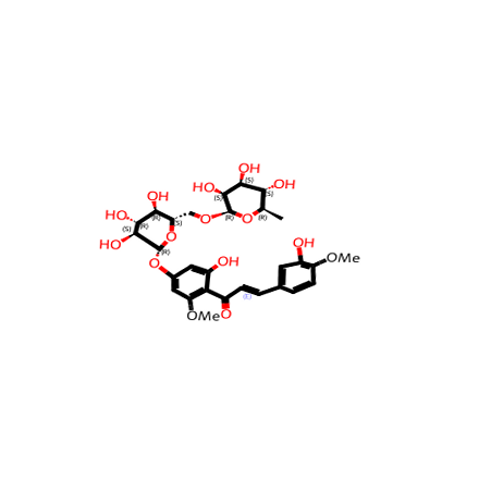 COc1ccc(/C=C/C(=O)c2c(O)cc(O[C@H]3O[C@@H](CO[C@@H]4O[C@H](C)[C@@H](O)[C@H](O)[C@@H]4O)[C@H](O)[C@@H](O)[C@@H]3O)cc2OC)cc1O